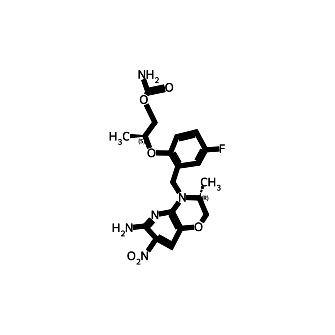 C[C@@H]1COc2cc([N+](=O)[O-])c(N)nc2N1Cc1cc(F)ccc1O[C@@H](C)COC(N)=O